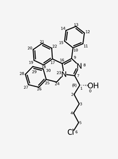 O[C@H](CCCCCl)c1nc(-c2ccccc2)c(-c2ccccc2)n1Cc1ccccc1